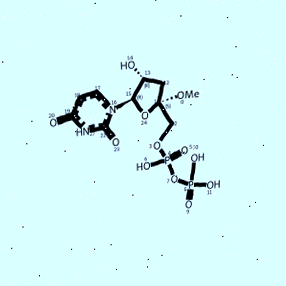 CO[C@@]1(COP(=O)(O)OP(=O)(O)O)C[C@@H](O)[C@H](n2ccc(=O)[nH]c2=O)O1